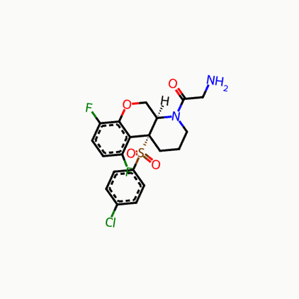 NCC(=O)N1CCC[C@@]2(S(=O)(=O)c3ccc(Cl)cc3)c3c(F)ccc(F)c3OC[C@@H]12